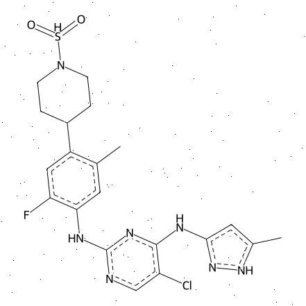 Cc1cc(Nc2nc(Nc3cc(C)c(C4CCN([SH](=O)=O)CC4)cc3F)ncc2Cl)n[nH]1